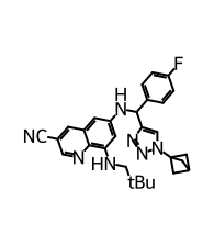 CC(C)(C)CNc1cc(NC(c2ccc(F)cc2)c2cn(C34CC(C3)C4)nn2)cc2cc(C#N)cnc12